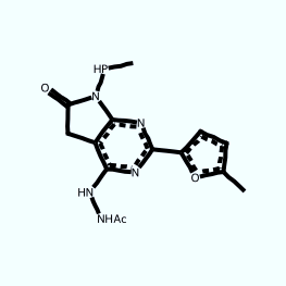 CPN1C(=O)Cc2c(NNC(C)=O)nc(-c3ccc(C)o3)nc21